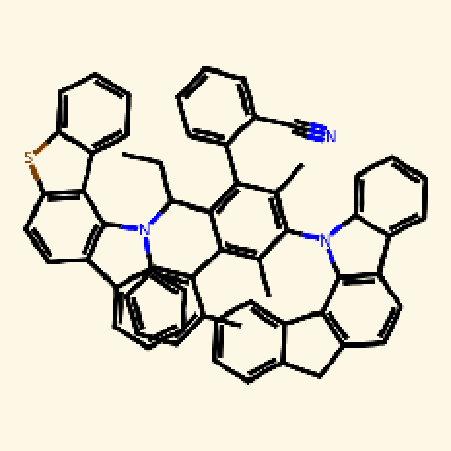 CCC(c1c(-c2ccccc2C)c(C)c(-n2c3ccccc3c3ccc4c(c32)-c2ccccc2C4)c(C)c1-c1ccccc1C#N)n1c2ccccc2c2ccc3sc4ccccc4c3c21